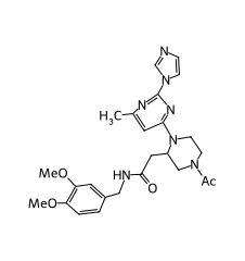 COc1ccc(CNC(=O)CC2CN(C(C)=O)CCN2c2cc(C)nc(-n3ccnc3)n2)cc1OC